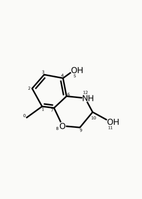 Cc1ccc(O)c2c1OCC(O)N2